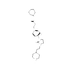 Cl.O=C(CCc1ccc(N2CCN(CCC3CCNCC3)C2=O)cc1)OC1CCCCC1